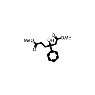 COC(=O)CCC(O)(CC(=O)OC)c1ccccc1